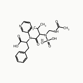 CC(=O)NCN(C(C(=O)N(c1cccnc1)C(Cc1ccccc1)C(=O)O)C(C)C)P(=O)(O)O